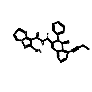 CCC#Cc1cccc2cc([C@@H](C)NC(=O)c3c(N)nn4cccnc34)n(-c3ccccc3)c(=O)c12